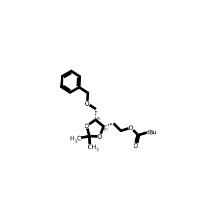 CC1(C)O[C@@H](CCOC(=O)C(C)(C)C)[C@@H](COCc2ccccc2)O1